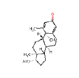 CC(=O)O[C@H]1CC[C@H]2[C@@H]3CCC4=CC(=O)C=C(C)[C@]4(C)[C@H]3CC[C@]12C